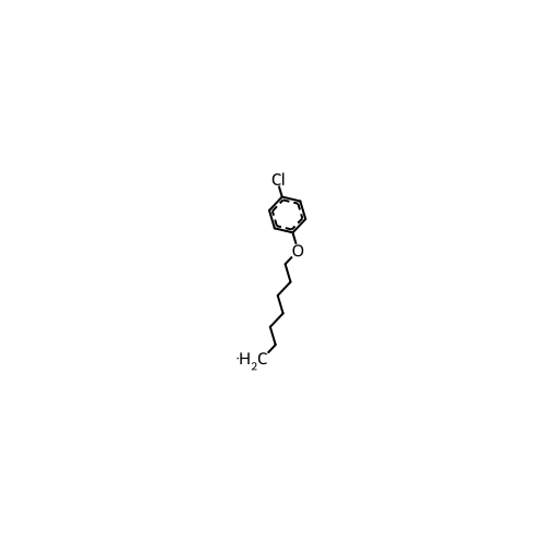 [CH2]CCCCCCOc1ccc(Cl)cc1